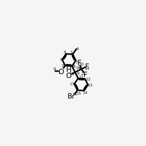 COc1ccc(C)cc1C(O)(c1cccc(Br)c1)C(F)(F)F